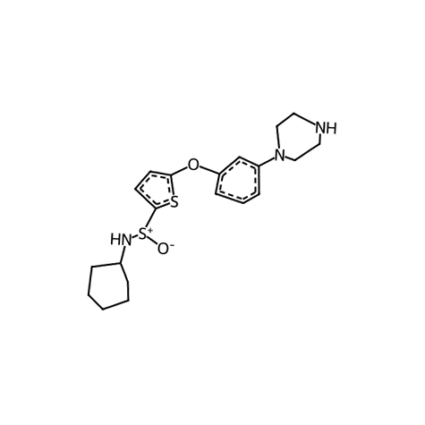 [O-][S+](NC1CCCCC1)c1ccc(Oc2cccc(N3CCNCC3)c2)s1